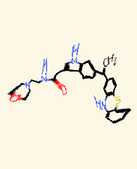 C=C(c1ccc2c(c1)Nc1ccccc1S2)c1ccc2c(C(=O)NCCN3CCOCC3)c[nH]c2c1